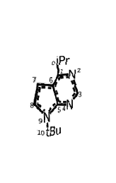 CC(C)c1ncnc2c1ccn2C(C)(C)C